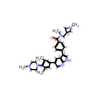 Cc1cc(-c2cnc3[nH]cc(-c4ccc(C(=O)N(C)CC5CN(C)C5)cc4)c3c2)cc(C)c1N1CCN(C)CC1